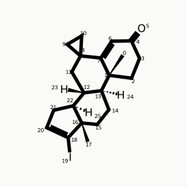 C[C@]12CCC(=O)C=C1C1(CC1)C[C@@H]1[C@@H]2CC[C@]2(C)C(I)=CC[C@@H]12